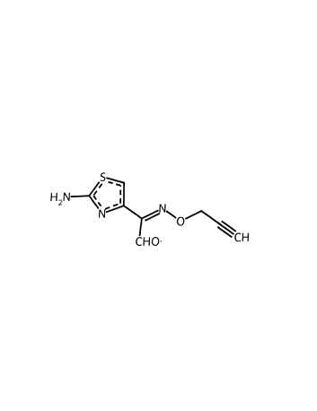 C#CCON=C([C]=O)c1csc(N)n1